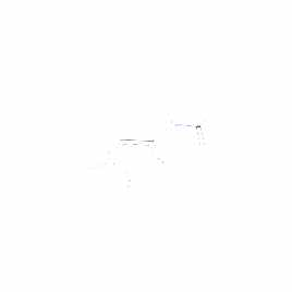 CCC(=O)Nc1cn(C)cn1